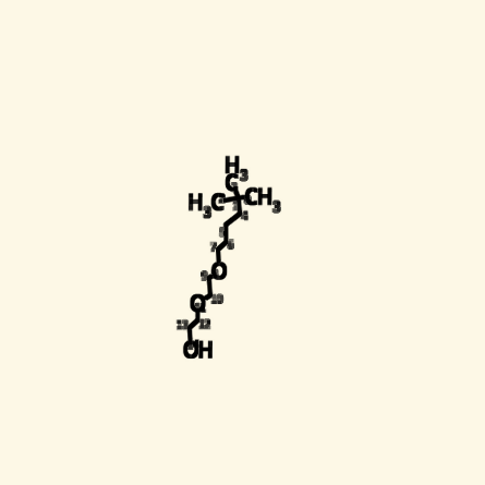 CC(C)(C)CCCCOCCOCCO